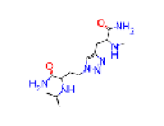 CNC(Cc1cn(CCC(NC(C)C)C(N)=O)nn1)C(N)=O